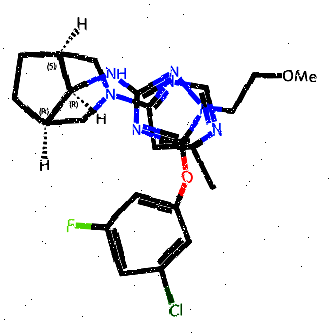 COCCn1nc(N[C@H]2[C@@H]3CC[C@H]2CN(c2cc(C)ncn2)C3)nc1Oc1cc(F)cc(Cl)c1